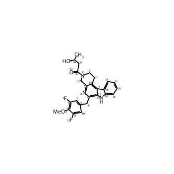 COc1c(F)cc(Cc2nc3c(c4c2[nH]c2ccccc24)CCN(C(=O)CC(C)O)C3)cc1F